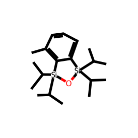 Cc1cccc2c1[Si](C(C)C)(C(C)C)O[Si]2(C(C)C)C(C)C